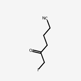 N#CCCCC(=O)CI